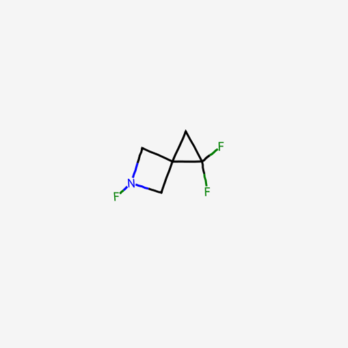 FN1CC2(C1)CC2(F)F